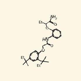 CCC(Oc1ccccc1NC(=O)COc1ccc(C(C)(C)CC)cc1C(C)(C)CC)C(N)=O